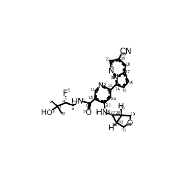 CC(C)(O)[C@H](F)CNC(=O)c1cnc(-c2ccc3cc(C#N)cnn23)cc1N[C@H]1[C@@H]2COC[C@@H]21